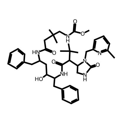 COC(=O)NCC(C)(C)CC(=O)NC(Cc1ccccc1)CC(O)C(Cc1ccccc1)NC(=O)C(C1CNC(=O)N1Cc1cccc(C)n1)C(C)(C)C